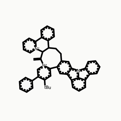 C=C1C2C(CCc3cc4c(cc3-c3cc(C(C)(C)C)c(-c5ccccc5)c[n+]31)c1cccc3c5ccccc5n4c31)c1ccccc1-c1cccc[n+]12